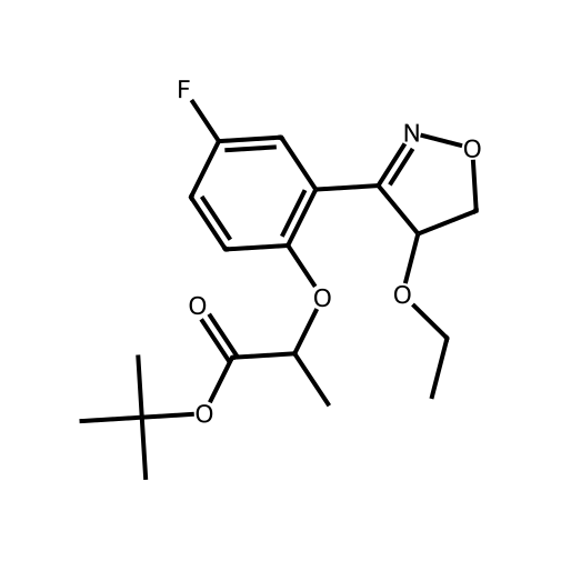 CCOC1CON=C1c1cc(F)ccc1OC(C)C(=O)OC(C)(C)C